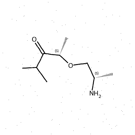 CC(C)C(=O)[C@H](C)OC[C@H](C)N